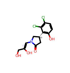 O=C1C[C@@H](c2c(O)ccc(Cl)c2Cl)CN1/C=C(\O)CO